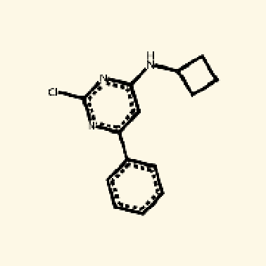 Clc1nc(NC2CCC2)cc(-c2ccccc2)n1